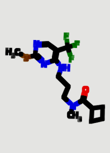 CSc1ncc(C(F)(F)F)c(NCCCN(C)C(=O)C2CCC2)n1